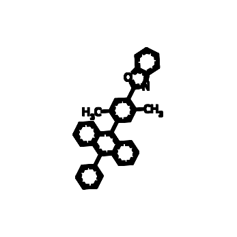 Cc1cc(-c2c3ccccc3c(-c3ccccc3)c3ccccc23)c(C)cc1-c1nc2ccccc2o1